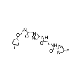 Cc1ccc(OCCN(C)C(=O)Cn2cc(NC(=O)CCNC(=O)c3ncc(F)cn3)cn2)cc1